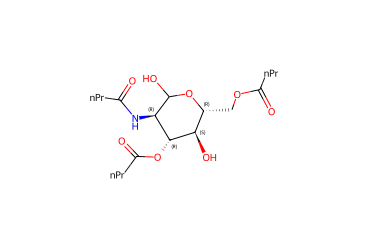 CCCC(=O)N[C@H]1C(O)O[C@H](COC(=O)CCC)[C@@H](O)[C@@H]1OC(=O)CCC